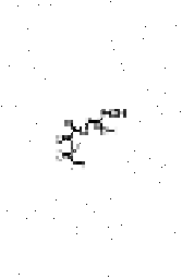 C=CC(=O)OC(=O)C(=C)OCC(O)CO